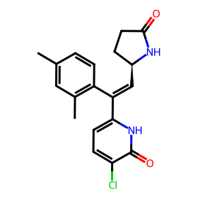 Cc1ccc(/C(=C\[C@H]2CCC(=O)N2)c2ccc(Cl)c(=O)[nH]2)c(C)c1